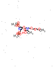 CCC(C(=O)O)N(CCOCCOCCOC)CCOc1cc(COS(C)(=O)=O)nc(COS(C)(=O)=O)c1